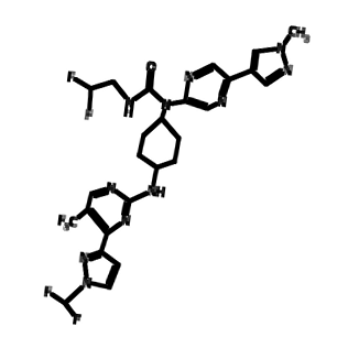 Cn1cc(-c2cnc(N(C(=O)NCC(F)F)C3CCC(Nc4ncc(C(F)(F)F)c(-c5ccn(C(F)F)n5)n4)CC3)cn2)cn1